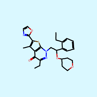 CCc1ccccc1C(Cn1nc(CC)c(=O)c2c(C)c(-c3ncco3)sc21)OC1CCOCC1